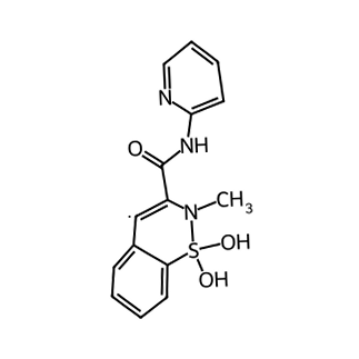 CN1C(C(=O)Nc2ccccn2)=[C]c2ccccc2S1(O)O